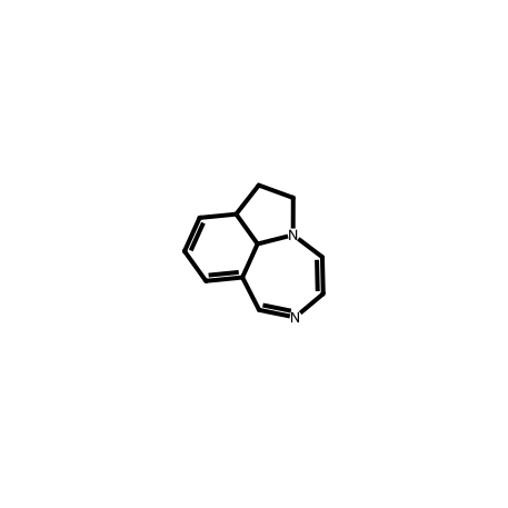 C1=CC2CCN3C=CN=CC(=C1)C23